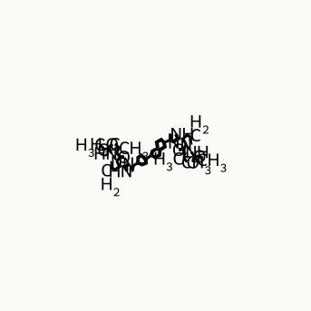 C=C1C[C@@H](c2nc(-c3ccc(-c4ccc5cc(-c6c[nH]c([C@@H]7CC(=C)CN7C(=O)[C@@H](NC(=O)OC)C(C)C)n6)ccc5c4)cc3)c[nH]2)N(C(=O)C(NC(=O)OC)C(C)C)C1